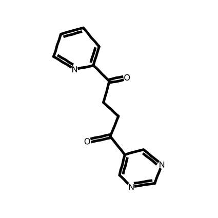 O=C(CCC(=O)c1ccccn1)c1cncnc1